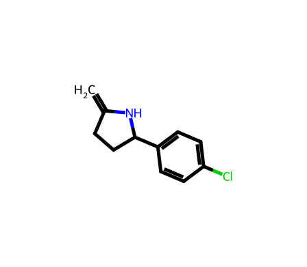 C=C1CCC(c2ccc(Cl)cc2)N1